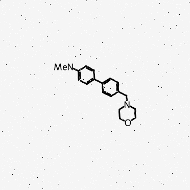 CNc1ccc(-c2ccc(CN3CCOCC3)cc2)cc1